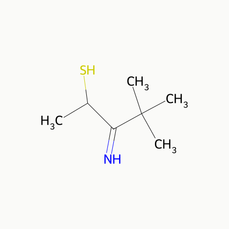 CC(S)C(=N)C(C)(C)C